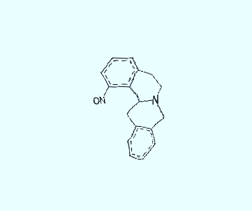 O=Nc1cccc2c1C1Cc3ccccc3CN1CC2